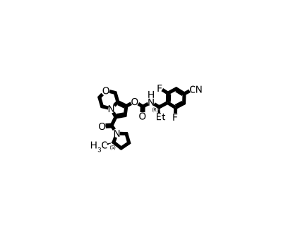 CC[C@@H](NC(=O)Oc1cc(C(=O)N2CCC[C@@H]2C)n2c1COCC2)c1c(F)cc(C#N)cc1F